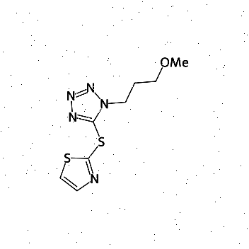 COCCCn1nnnc1Sc1nccs1